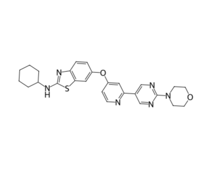 c1cc(Oc2ccc3nc(NC4CCCCC4)sc3c2)cc(-c2cnc(N3CCOCC3)nc2)n1